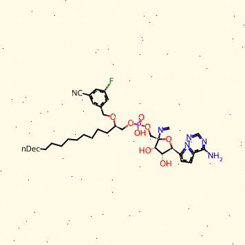 C=N[C@]1(COP(=O)(O)OC[C@@H](CCCCCCCCCCCCCCCCCCC)OCc2cc(F)cc(C#N)c2)O[C@@H](c2ccc3c(N)ncnn23)[C@H](O)[C@@H]1O